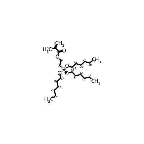 C=C(C)C(=O)OCC[Si](OCCCCCC)(OCCCCCC)OCCCCCC